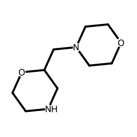 C1COC(CN2CCOCC2)CN1